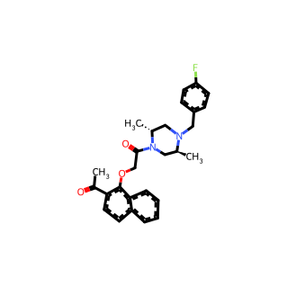 CC(=O)c1ccc2ccccc2c1OCC(=O)N1C[C@H](C)N(Cc2ccc(F)cc2)C[C@H]1C